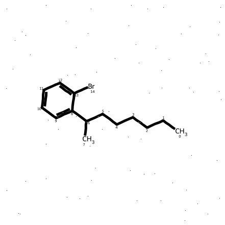 CCCCCCC(C)c1ccccc1Br